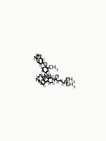 Cc1cc(Nc2ncnn3ccc(C4CCN(C(=O)/C=C/CN(C)C)CC4(F)F)c23)ccc1Oc1ccn2ncnc2c1